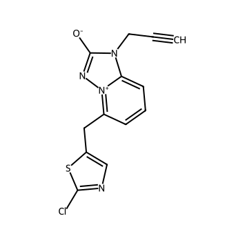 C#CCn1c([O-])n[n+]2c(Cc3cnc(Cl)s3)cccc12